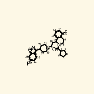 O=C(C1CCCC1)N1CCc2c(F)cccc2C1CCN1CCC(c2noc3cc(F)ccc23)CC1